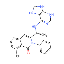 Cc1cccc2cc([C@H](C)NC3=NCNC4=C3NCN4)n(-c3ccccc3)c(=O)c12